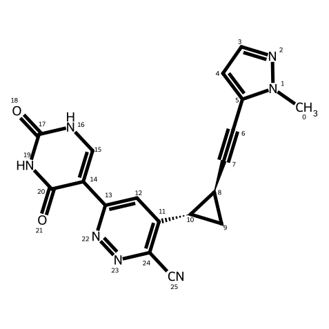 Cn1nccc1C#C[C@H]1C[C@@H]1c1cc(-c2c[nH]c(=O)[nH]c2=O)nnc1C#N